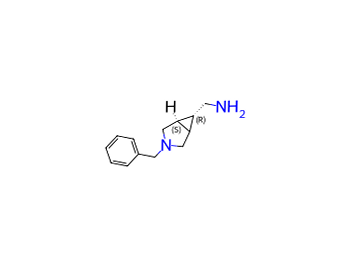 NC[C@@H]1C2CN(Cc3ccccc3)C[C@H]21